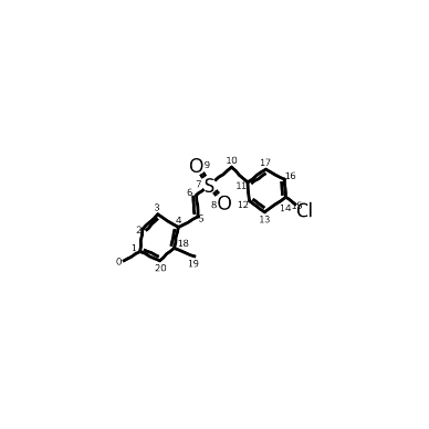 Cc1ccc(C=CS(=O)(=O)Cc2ccc(Cl)cc2)c(C)c1